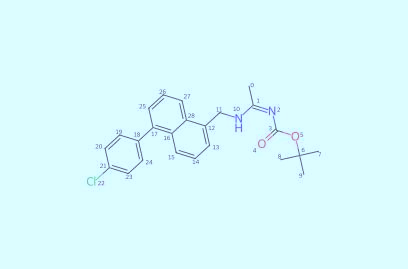 C/C(=N/C(=O)OC(C)(C)C)NCc1cccc2c(-c3ccc(Cl)cc3)cccc12